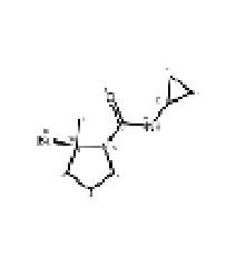 CC(C)(C)[C@]1(C)CCCN1C(=O)NC1CC1